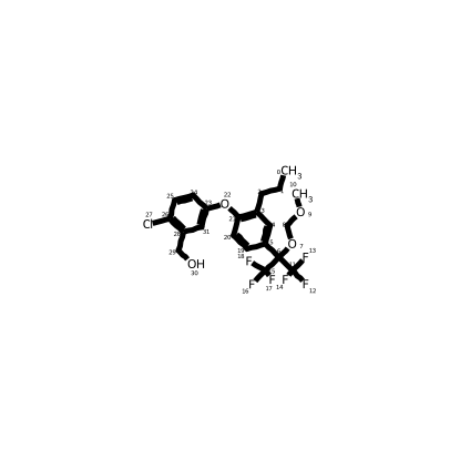 CCCc1cc(C(OCOC)(C(F)(F)F)C(F)(F)F)ccc1Oc1ccc(Cl)c(CO)c1